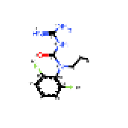 CCCN(C(=O)NC(=N)N)c1c(F)cccc1F